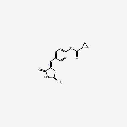 C=c1[nH]c(=O)/c(=C/c2ccc(OC(=O)C3CC3)cc2)s1